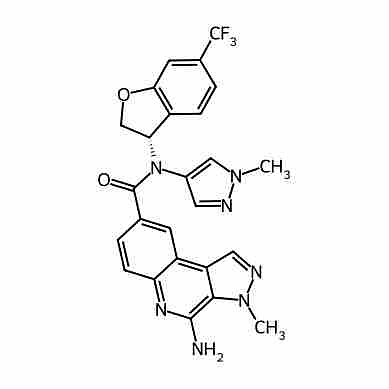 Cn1cc(N(C(=O)c2ccc3nc(N)c4c(cnn4C)c3c2)[C@@H]2COc3cc(C(F)(F)F)ccc32)cn1